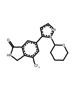 O=C1NCc2c1cc(-c1ccnn1C1CCCCO1)cc2C(F)(F)F